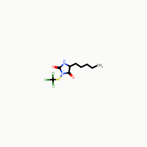 CCCCCC1NC(=O)N(SC(Cl)(Cl)Cl)C1=O